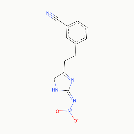 N#Cc1cccc(CCC2=NC(=N[N+](=O)[O-])NC2)c1